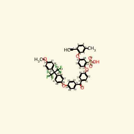 C#Cc1ccc(C)cc1Oc1ccc(Oc2ccc(C(=O)c3ccc(Oc4ccc(C(c5ccc(OC)cc5)(C(F)(F)F)C(F)(F)F)cc4)cc3)cc2)c(S(=O)(=O)O)c1